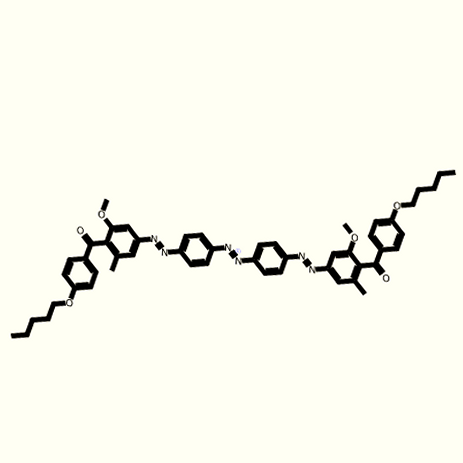 CCCCCOc1ccc(C(=O)c2c(C)cc(N=Nc3ccc(/N=N/c4ccc(N=Nc5cc(C)c(C(=O)c6ccc(OCCCCC)cc6)c(OC)c5)cc4)cc3)cc2OC)cc1